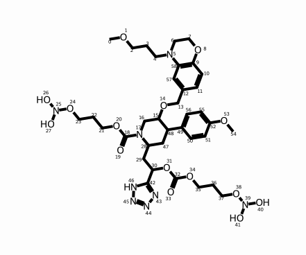 COCCCN1CCOc2ccc(COC3CN(C(=O)OCCCON(O)O)C(CC(OC(=O)OCCCON(O)O)c4nnn[nH]4)CC3c3ccc(OC)cc3)cc21